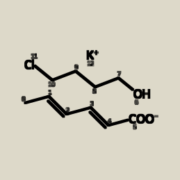 CC=CC=CC(=O)[O-].OCCCCCl.[K+]